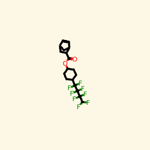 O=C(OC1CCC(C(F)(F)C(F)(F)C(F)(F)C(F)F)CC1)C1CC2C=CC1C2